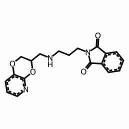 O=C1c2ccccc2C(=O)N1CCCNCC1COc2cccnc2O1